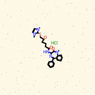 CN1C(=O)C(NC(=O)CCCC(=O)CSC2N(C)C=CN2C)N=C(c2ccccc2)c2ccccc21.Cl